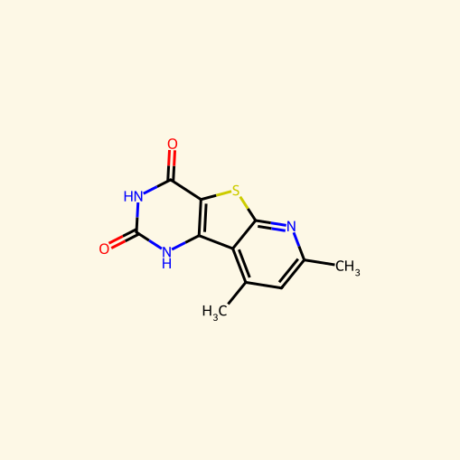 Cc1cc(C)c2c(n1)sc1c(=O)[nH]c(=O)[nH]c12